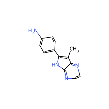 Cc1c(-c2ccc(N)cc2)[nH]c2nccnc12